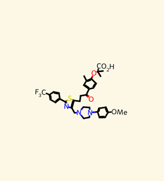 COc1ccc(N2CCN(Cc3nc(-c4ccc(C(F)(F)F)cc4)sc3CCC(=O)c3ccc(OC(C)(C)C(=O)O)c(C)c3)CC2)cc1